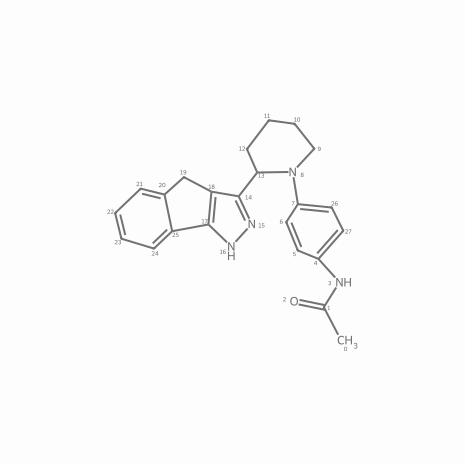 CC(=O)Nc1ccc(N2CCCCC2c2n[nH]c3c2Cc2ccccc2-3)cc1